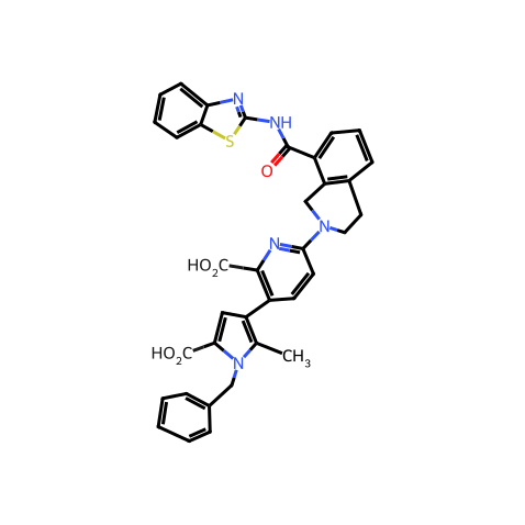 Cc1c(-c2ccc(N3CCc4cccc(C(=O)Nc5nc6ccccc6s5)c4C3)nc2C(=O)O)cc(C(=O)O)n1Cc1ccccc1